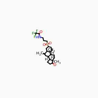 C=C1C[C@@H]2[C@@H](CC[C@]3(C)C(=O)CC[C@@H]23)[C@@]2(C)CCC(S(=O)(=O)CCCNC(=O)C(F)(F)F)CC12